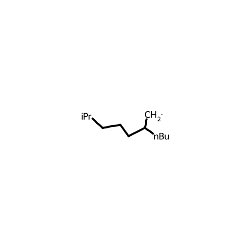 [CH2]C(CCCC)CCCC(C)C